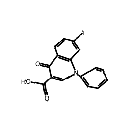 O=C(O)c1cn(-c2ccccc2)c2cc(I)ccc2c1=O